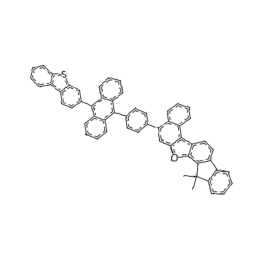 CC1(C)c2ccccc2-c2ccc3c(oc4cc(-c5ccc(-c6c7ccccc7c(-c7ccc8c(c7)sc7ccccc78)c7ccccc67)cc5)c5ccccc5c43)c21